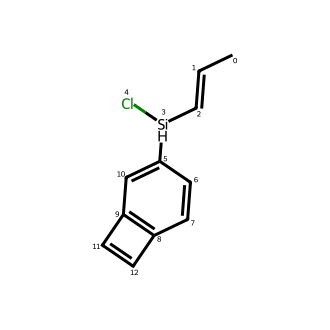 CC=C[SiH](Cl)c1ccc2c(c1)C=C2